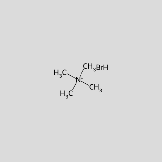 Br.C[N+](C)(C)C